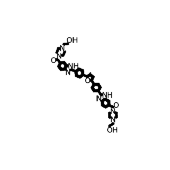 O=C(c1ccc2nc(-c3ccc(-c4ccc(-c5ccc(-c6nc7ccc(C(=O)N8CCN(CCO)CC8)cc7[nH]6)cc5)o4)cc3)[nH]c2c1)N1CCN(CCO)CC1